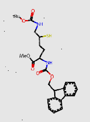 COC(=O)C(CCC(S)CNC(=O)OC(C)(C)C)NC(=O)OCC1c2ccccc2-c2ccccc21